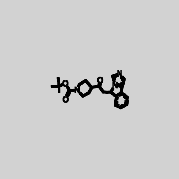 CC(C)(C)OC(=O)N1CCC(C(=O)CC2c3ccccc3-c3cncn32)CC1